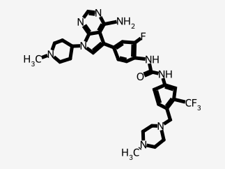 CN1CCC(n2cc(-c3ccc(NC(=O)Nc4ccc(CN5CCN(C)CC5)c(C(F)(F)F)c4)c(F)c3)c3c(N)ncnc32)CC1